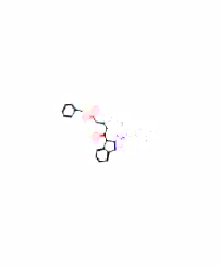 C[C@H](CC(=O)OCc1ccccc1)CC(=O)C1c2ccccc2CC1NCC(=O)O